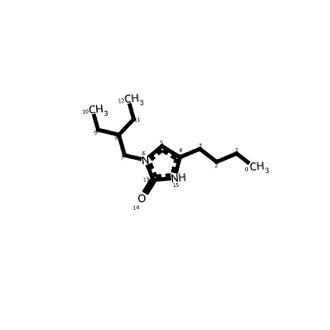 CCCCc1cn(CC(CC)CC)c(=O)[nH]1